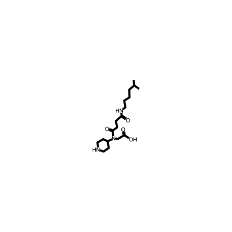 CC(C)CCCCNC(=O)CCC(=O)N(CC(=O)O)C1CCNCC1